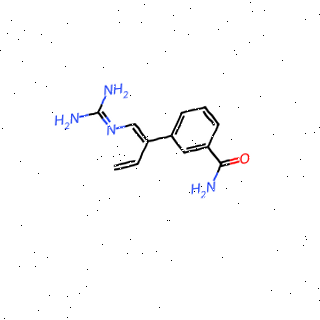 C=C/C(=C\N=C(N)N)c1cccc(C(N)=O)c1